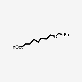 CCCCCCCCCCCCCCCOCC(C)(C)C